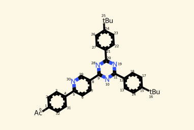 CC(=O)c1ccc(-c2ccc(-c3nc(-c4ccc(C(C)(C)C)cc4)nc(-c4ccc(C(C)(C)C)cc4)n3)cn2)cc1